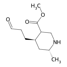 COC(=O)C1CN[C@H](C)C[C@H]1CCC=O